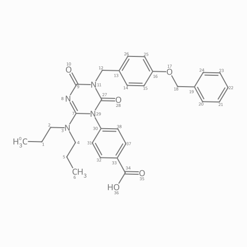 CCCN(CCC)c1nc(=O)n(Cc2ccc(OCc3ccccc3)cc2)c(=O)n1-c1ccc(C(=O)O)cc1